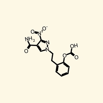 NC(=O)c1cn(CCc2ccccc2OC(=O)O)nc1[N+](=O)[O-]